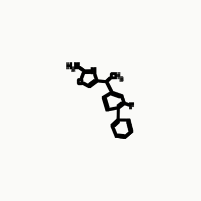 CC(c1ccc(-c2ccccc2)c(F)c1)c1coc(N)n1